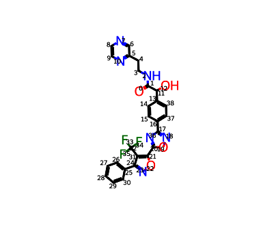 O=C(NCCc1cnccn1)C(O)c1ccc(-c2noc(-c3onc(-c4ccccc4)c3C(F)(F)F)n2)cc1